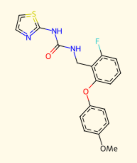 COc1ccc(Oc2cccc(F)c2CNC(=O)Nc2nccs2)cc1